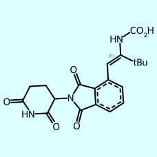 CC(C)(C)/C(=C\c1cccc2c1C(=O)N(C1CCC(=O)NC1=O)C2=O)NC(=O)O